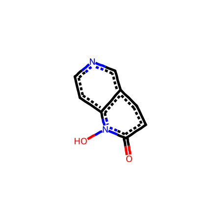 O=c1ccc2cnccc2n1O